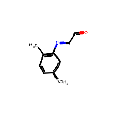 Cc1ccc(C)c(N=CC=O)c1